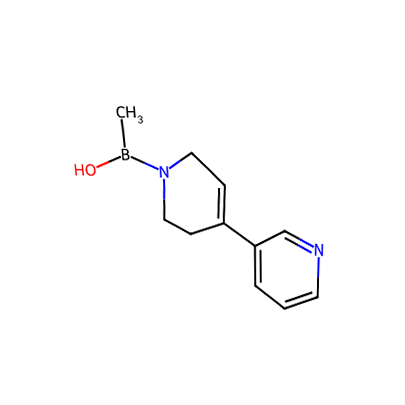 CB(O)N1CC=C(c2cccnc2)CC1